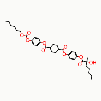 CCCCCCOC(=O)Oc1ccc(OC(=O)C2CCC(C(=O)Oc3ccc(OC(=O)C(C)(O)CCCCC)cc3)CC2)cc1